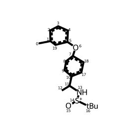 Cc1cccc(Oc2ccc(C(C)N[S+]([O-])C(C)(C)C)cc2)c1